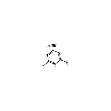 C#N.Cc1cccc(Br)n1